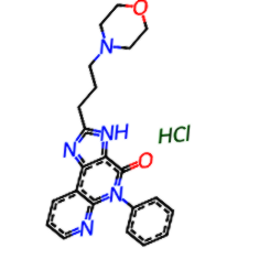 Cl.O=c1c2[nH]c(CCCN3CCOCC3)nc2c2cccnc2n1-c1ccccc1